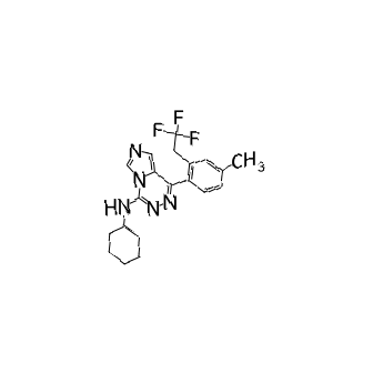 Cc1ccc(-c2nnc(NC3CCCCC3)n3cncc23)c(CC(F)(F)F)c1